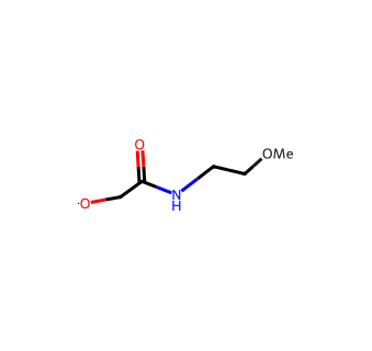 COCCNC(=O)C[O]